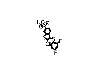 CS(=O)(=O)c1ccc2c(Sc3ccc(F)cc3F)c(C#N)sc2c1